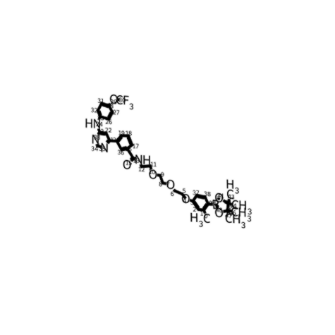 Cc1cc(OCCOCCOCCNC(=O)c2cccc(-c3cc(Nc4ccc(OC(F)(F)F)cc4)ncn3)c2)ccc1B1OC(C)(C)C(C)(C)O1